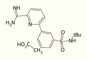 CC(=O)O.CC(C)(C)NS(=O)(=O)c1cccc(-c2cccc(C(=N)N)n2)c1